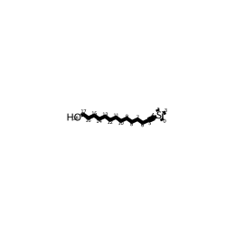 C[Si](C)(C)C#CCCCCCCCCCCCCO